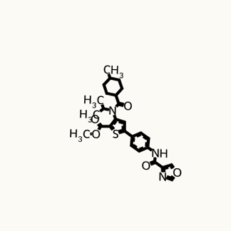 COC(=O)c1sc(-c2ccc(NC(=O)c3cocn3)cc2)cc1N(C(=O)C1CCC(C)CC1)C(C)C